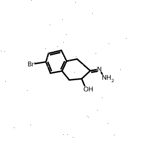 NN=C1Cc2ccc(Br)cc2CC1O